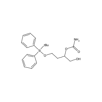 CC(C)(C)[Si](OCCC(CO)OC(N)=O)(c1ccccc1)c1ccccc1